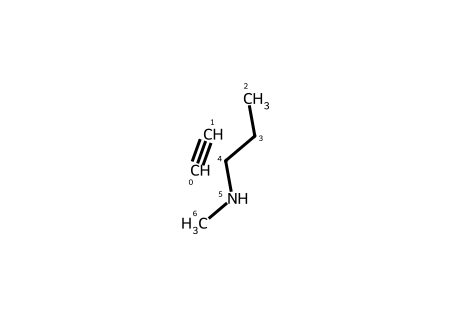 C#C.CCCNC